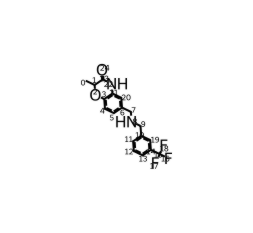 CC1Oc2ccc(CNCc3cccc(C(F)(F)F)c3)cc2NC1=O